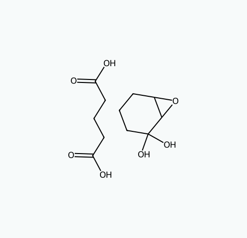 O=C(O)CCCC(=O)O.OC1(O)CCCC2OC21